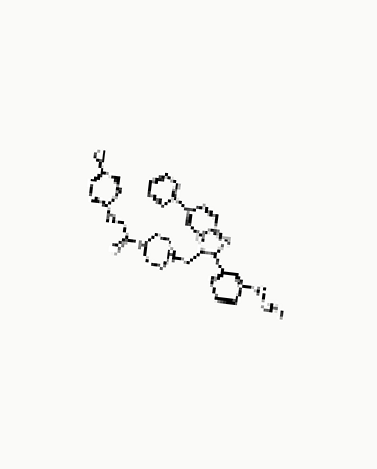 COc1cccc(-c2nc3ccc(-c4ccccc4)cn3c2CN2CCN(C(=O)COc3ccc(Cl)cc3)CC2)c1